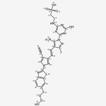 Cc1nn(-c2nc(O)nc(NCCS(=O)(=O)O)n2)c(N)c1/N=N/c1nn(-c2nc3ccc(SOOO)cc3s2)cc1C#N